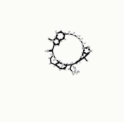 Cc1c2ccc3c1nnn3CCCCCc1cnc3c(c1)cc(n3C)C(=O)N1CCc3ccc(cc3C1)[C@@H]2CC(=O)O